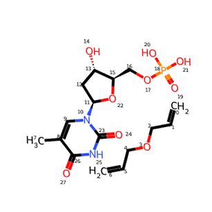 C=CCOCC=C.Cc1cn([C@H]2C[C@H](O)[C@@H](COP(=O)(O)O)O2)c(=O)[nH]c1=O